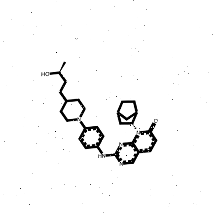 C[C@H](O)CCC1CCN(c2ccc(Nc3ncc4ccc(=O)n([C@@H]5CC6CCC5C6)c4n3)cc2)CC1